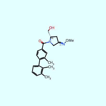 CO/N=C1\C[C@@H](CO)N(C(=O)c2ccc(-c3cccc(C)c3C)c(C)c2)C1